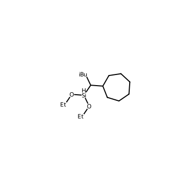 CCO[SiH](OCC)C(C(C)CC)C1CCCCCC1